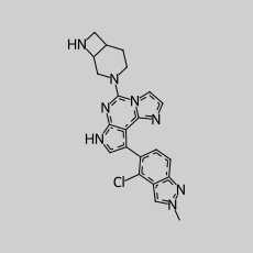 Cn1cc2c(Cl)c(-c3c[nH]c4nc(N5CCC6CNC6C5)n5ccnc5c34)ccc2n1